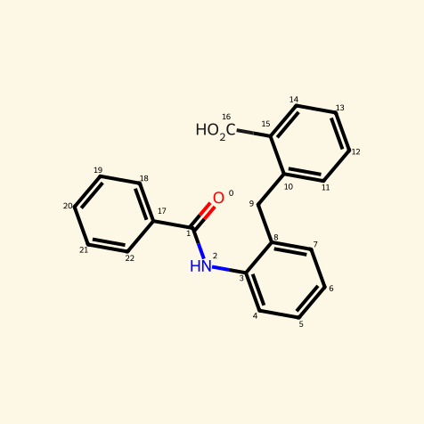 O=C(Nc1ccccc1Cc1ccccc1C(=O)O)c1ccccc1